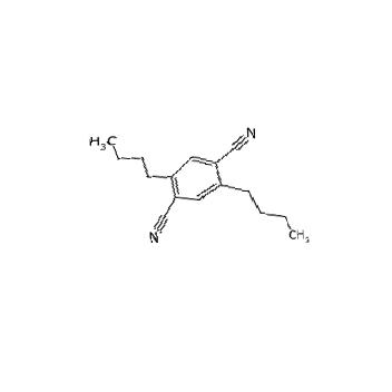 CCCCc1cc(C#N)c(CCCC)cc1C#N